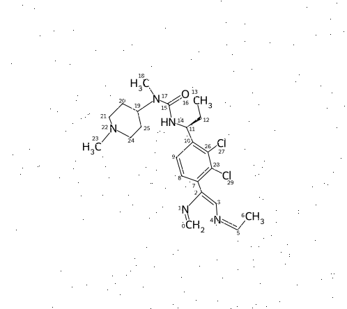 C=N/C(=C\N=C/C)c1ccc([C@H](CC)NC(=O)N(C)C2CCN(C)CC2)c(Cl)c1Cl